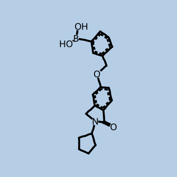 O=C1c2ccc(OCc3cccc(B(O)O)c3)cc2CN1C1CCCC1